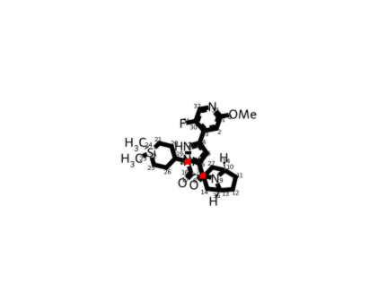 COc1cc(-c2cc(C(=O)N3[C@@H]4CC[C@H]3C[C@H](C(=O)NC3CC[Si](C)(C)CC3)C4)n[nH]2)c(F)cn1